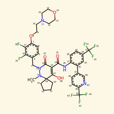 CN1N(Cc2ccc(OCCN3CCOCC3)c(F)c2F)C(=O)C(C(=O)Nc2ccc(C(F)(F)F)cc2-c2ccc(C(F)(F)F)nc2)=C(O)C12CCCC2